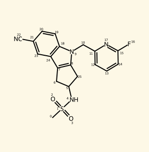 CS(=O)(=O)NC1Cc2c(n(Cc3cccc(F)n3)c3ccc(C#N)cc23)C1